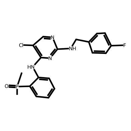 CP(C)(=O)c1ccccc1Nc1nc(NCc2ccc(F)cc2)ncc1Cl